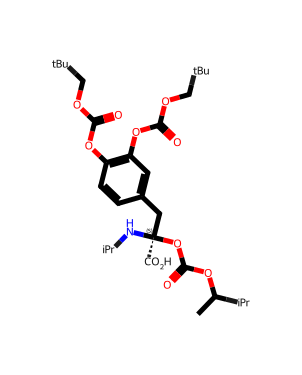 CC(C)N[C@@](Cc1ccc(OC(=O)OCC(C)(C)C)c(OC(=O)OCC(C)(C)C)c1)(OC(=O)OC(C)C(C)C)C(=O)O